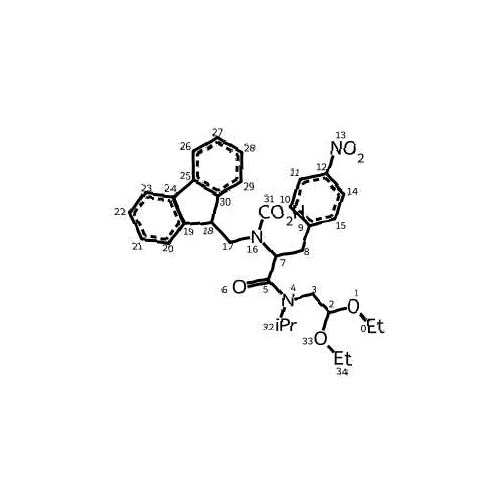 CCOC(CN(C(=O)C(Cc1ccc([N+](=O)[O-])cc1)N(CC1c2ccccc2-c2ccccc21)C(=O)O)C(C)C)OCC